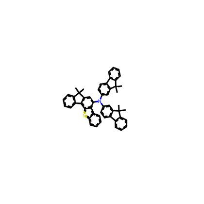 CC1(C)c2ccccc2-c2ccc(N(c3ccc4c(c3)C(C)(C)c3ccccc3-4)c3cc4c(c5sc6ccccc6c35)-c3ccccc3C4(C)C)cc21